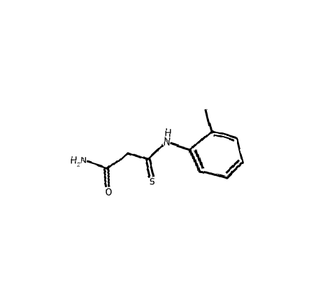 Cc1ccccc1NC(=S)CC(N)=O